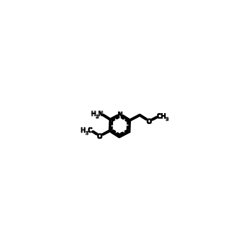 COCc1ccc(OC)c(N)n1